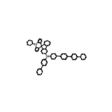 c1ccc(-c2ccc(-c3ccc(-c4ccc(N(c5ccc(-c6ccccc6)cc5)c5ccc6c(c5)-c5ccccc5C65c6ccccc6N(c6ccccc6)c6ccccc65)cc4)cc3)cc2)cc1